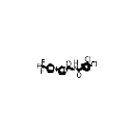 O=C(NCC(=O)N1CCC(N2CCC(C(F)(F)F)CC2)C1)c1ccc(Cl)c(Cl)c1